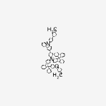 C=CC1=CCC(OC2CC=C(C3(C4C=CCCC4)C4C=CCCC4C4C=CC(N(C5C=CC(C6=CC7C8CCCC=C8N(C8C=CC(C9C=CC(C=C)CC9)=CC8)C7C=C6)CC5)C5CCC6C7=C(CCCC7)C(C7C=CC=CC7)(C7CCCCC7)C6C5)CC43)CC2)CC1